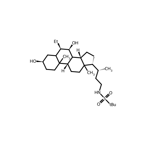 CC[C@@H]1C2C[C@H](O)CCC2(C)[C@H]2CCC3(C)[C@@H]([C@H](C)CCNS(=O)(=O)C(C)(C)C)CC[C@H]3C2[C@@H]1O